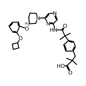 CC(C)(Cc1ccc(C(C)(C)C(=O)Nc2cncc(N3CCC[C@@H](Oc4ccccc4OC4CCC4)C3)n2)cc1)C(=O)O